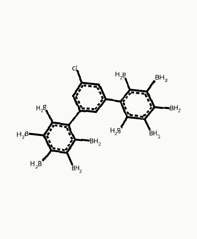 Bc1c(B)c(B)c(-c2cc(Cl)cc(-c3c(B)c(B)c(B)c(B)c3B)c2)c(B)c1B